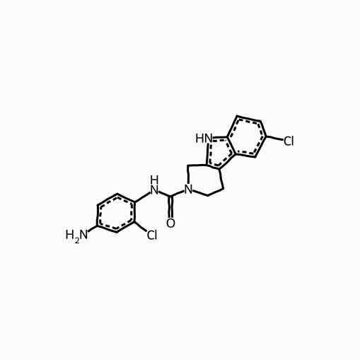 Nc1ccc(NC(=O)N2CCc3c([nH]c4ccc(Cl)cc34)C2)c(Cl)c1